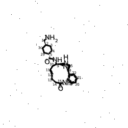 NC[C@H]1CC[C@H](C(=O)NC2C/C=C/CCC(=O)Nc3ccccc3-c3c[nH]c2n3)CC1